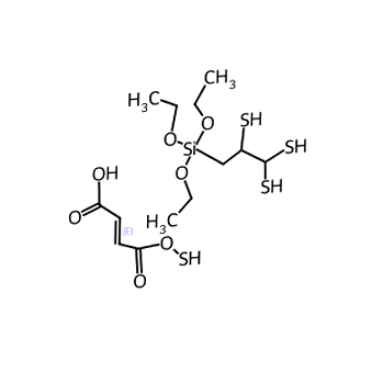 CCO[Si](CC(S)C(S)S)(OCC)OCC.O=C(O)/C=C/C(=O)OS